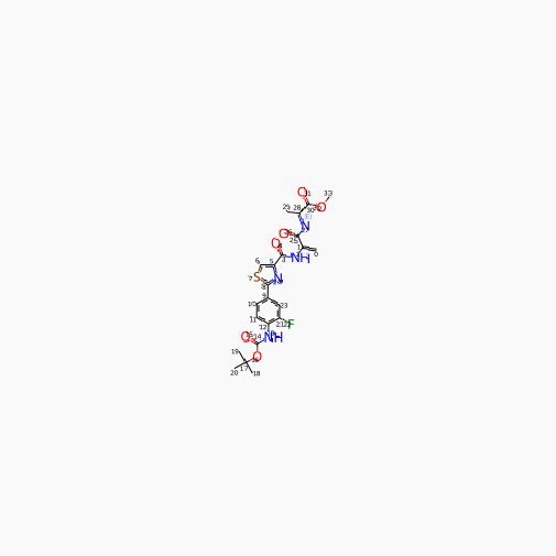 C=C(NC(=O)c1csc(-c2ccc(NC(=O)OC(C)(C)C)c(F)c2)n1)C(=O)/N=C(\C)C(=O)OC